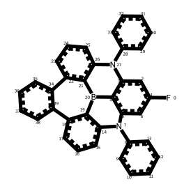 Fc1cc2c3c(c1)N(c1ccccc1)c1cccc4c1B3c1c(cccc1N2c1ccccc1)-c1ccccc1-4